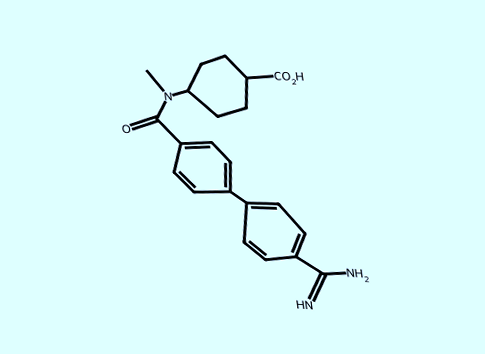 CN(C(=O)c1ccc(-c2ccc(C(=N)N)cc2)cc1)C1CCC(C(=O)O)CC1